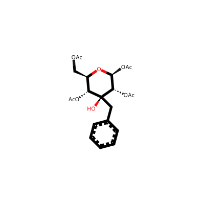 CC(=O)OC[C@H]1O[C@@H](OC(C)=O)[C@H](OC(C)=O)[C@](O)(Cc2ccccc2)[C@@H]1OC(C)=O